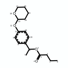 CCCC(=O)OC(C)c1ccc(OC2CCCCO2)cc1